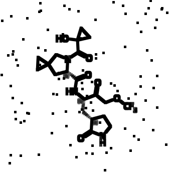 O=C1NCC[C@H]1C[C@H](NC(=O)[C@@H]1CC2(CC2)CN1C(=O)C1(O)CC1)C(=O)COC(F)(F)F